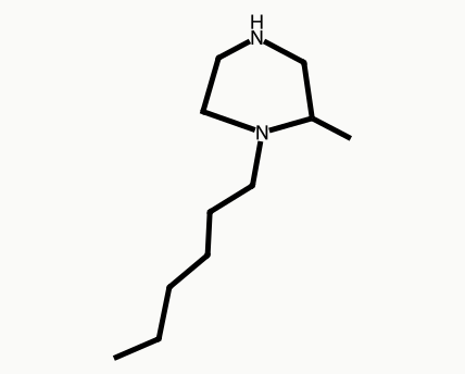 CCCCCCN1CCNCC1C